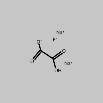 O=C([O-])C(=O)O.[F-].[Na+].[Na+]